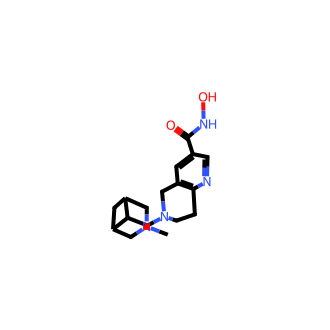 CN1CC2CC(C1)C2CN1CCc2ncc(C(=O)NO)cc2C1